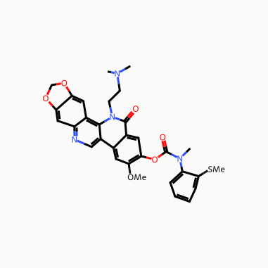 COc1cc2c(cc1OC(=O)N(C)c1ccccc1SC)c(=O)n(CCN(C)C)c1c3cc4c(cc3ncc21)OCO4